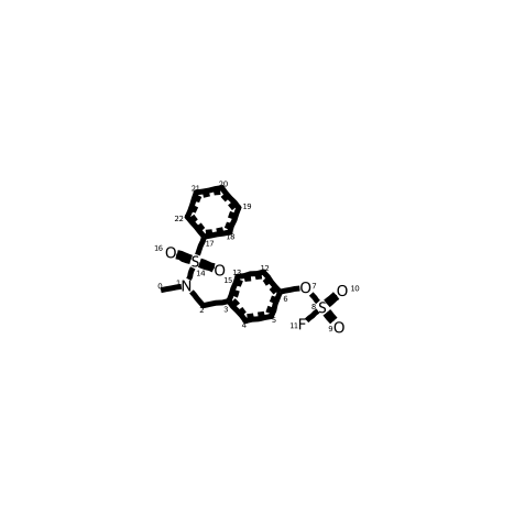 CN(Cc1ccc(OS(=O)(=O)F)cc1)S(=O)(=O)c1ccccc1